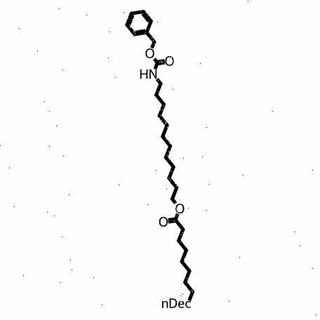 CCCCCCCCCCCCCCCCCC(=O)OCCCCCCCCCCCCNC(=O)OCc1ccccc1